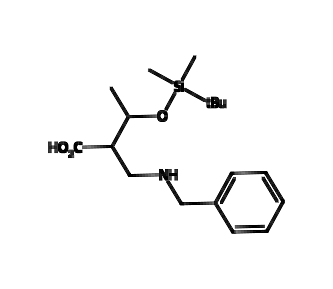 CC(O[Si](C)(C)C(C)(C)C)C(CNCc1ccccc1)C(=O)O